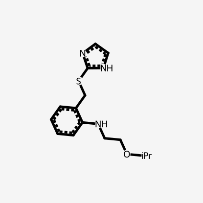 CC(C)OCCNc1ccccc1CSc1ncc[nH]1